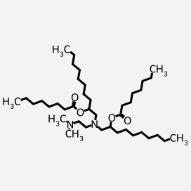 CCCCCCCCC(CN(CCN(C)C)CC(CCCCCCCC)OC(=O)CCCCCCC)OC(=O)CCCCCCC